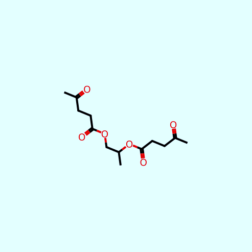 CC(=O)CCC(=O)OCC(C)OC(=O)CCC(C)=O